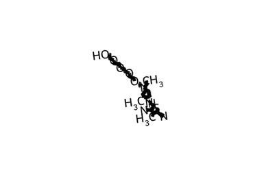 CCN(CCOCCOCCOCCOCCO)c1ccc(/N=N/c2sc(C#N)c(C)c2C#N)c(C)c1